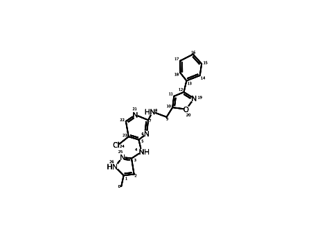 Cc1cc(Nc2nc(NCc3cc(-c4ccccc4)no3)ncc2Cl)n[nH]1